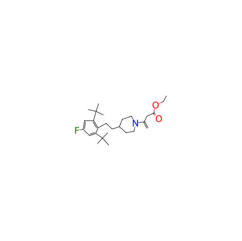 C=C(CC(=O)OCC)N1CCC(CCc2c(C(C)(C)C)cc(F)cc2C(C)(C)C)CC1